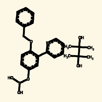 CC(C)(O)C(C)(C)O.OB(O)Oc1ccc(OCc2ccccc2)c(-c2ccccn2)c1